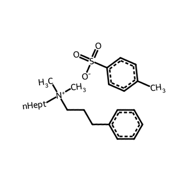 CCCCCCC[N+](C)(C)CCCc1ccccc1.Cc1ccc(S(=O)(=O)[O-])cc1